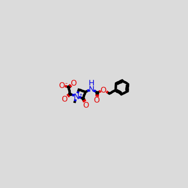 C[N+]1(C(=O)C(=O)[O-])CC(NC(=O)OCc2ccccc2)C1=O